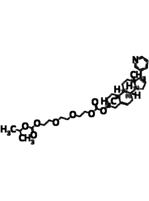 CC(C)OC(=O)OCCOCCOCCOC(=O)O[C@H]1CC[C@@]2(C)C(=CC[C@@H]3[C@@H]2CC[C@]2(C)C(c4cccnc4)=CC[C@@H]32)C1